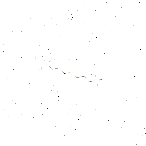 C[Si](Cl)(Cl)CCCSCCC[Si](C)(Cl)Cl